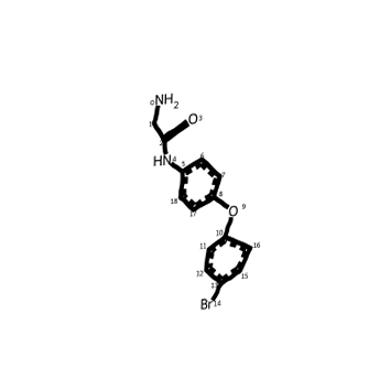 NCC(=O)Nc1ccc(Oc2ccc(Br)cc2)cc1